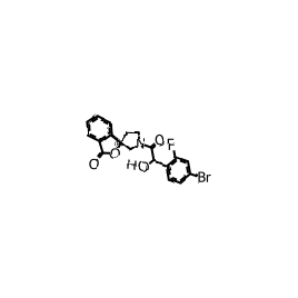 O=C1O[C@]2(CCN(C(=O)C(O)c3ccc(Br)cc3F)C2)c2ccccc21